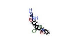 O=C(NC1CNC1)c1ccc(-c2cc(Cl)c(CC3CCN(C4CCCCC4)C3=O)c(Cl)c2)cc1